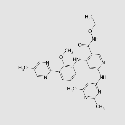 CCONC(=O)c1cnc(Nc2cc(C)nc(C)n2)cc1Nc1cccc(-c2ncc(C)cn2)c1OC